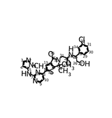 Cn1nccc1Nc1nccc(-c2cc3c(s2)C(C)(C)N(CC(=O)N[C@H](CO)c2cccc(Cl)c2)C3=O)n1